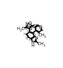 Cc1nc2c(-c3c(C)cncc3C)c(-c3c(C)noc3C)ccc2[nH]1